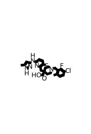 Cc1cc(Nc2ccc(F)c(CC3(C(=O)O)CCN(Cc4c(C)ccc(Cl)c4F)CC3)n2)n[nH]1